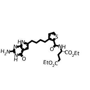 CCOC(=O)CC[C@H](NC(=O)c1sccc1CCCCc1cc2c(=O)[nH]c(N)nc2[nH]1)C(=O)OCC